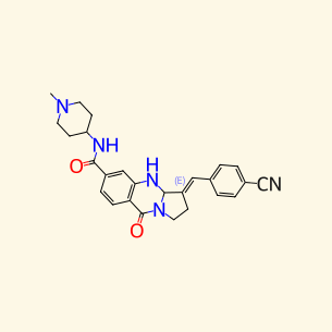 CN1CCC(NC(=O)c2ccc3c(c2)NC2/C(=C/c4ccc(C#N)cc4)CCN2C3=O)CC1